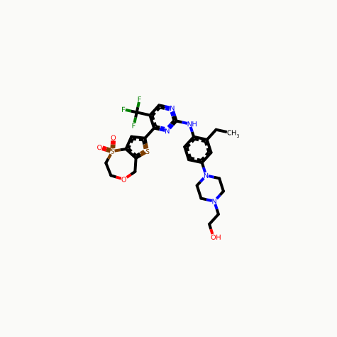 CCc1cc(N2CCN(CCO)CC2)ccc1Nc1ncc(C(F)(F)F)c(-c2cc3c(s2)COCCS3(=O)=O)n1